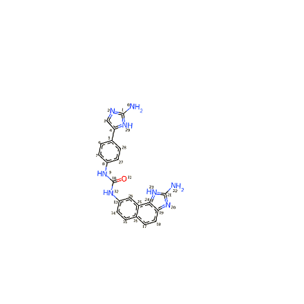 Nc1ncc(-c2ccc(NC(=O)Nc3ccc4ccc5nc(N)[nH]c5c4c3)cc2)[nH]1